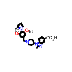 CCOc1cc(CN2CCC(n3c(C)nc4cc(C(=O)O)ccc43)CC2)cc(OCC)c1-n1cccc1